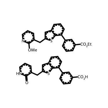 CCOC(=O)c1cccc(-c2cccc3cc(Cc4cccnc4OC)sc23)c1.O=C(O)c1cccc(-c2cccc3cc(Cc4ccc[nH]c4=O)sc23)c1